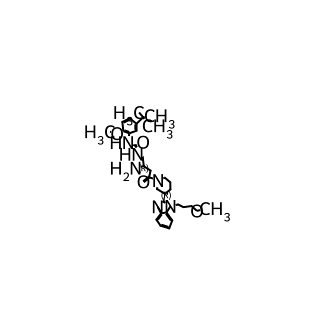 COCCCn1c([C@@H]2CCCN(C(=O)C[C@@H](N)CNC(=O)Nc3cc(C(C)(C)C)ccc3OC)C2)nc2ccccc21